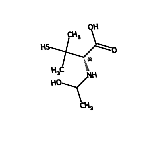 CC(O)N[C@@H](C(=O)O)C(C)(C)S